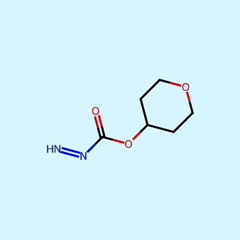 N=NC(=O)OC1CCOCC1